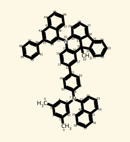 Cc1cc(C)cc(N(c2ccc(-c3ccc4c(c3)C3(C)c5ccccc5-c5cccc(c53)N4c3cc(-c4ccccc4)cc4ccccc34)cc2)c2cccc3ccccc23)c1